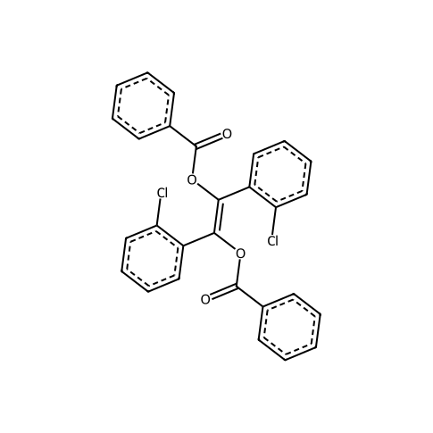 O=C(O/C(=C(/OC(=O)c1ccccc1)c1ccccc1Cl)c1ccccc1Cl)c1ccccc1